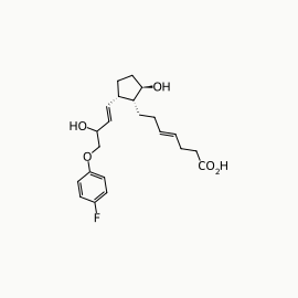 O=C(O)CCC=CCC[C@H]1[C@H](O)CC[C@H]1C=CC(O)COc1ccc(F)cc1